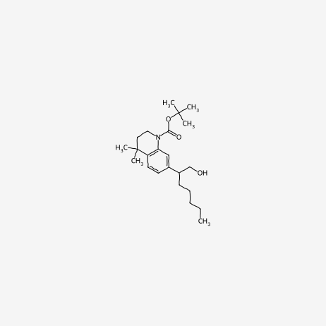 CCCCCC(CO)c1ccc2c(c1)N(C(=O)OC(C)(C)C)CCC2(C)C